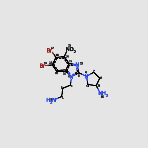 NCCCn1c(N2CCC(N)C2)nc2c([N+](=O)[O-])c(Br)c(Br)cc21